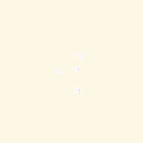 C[C@@H](CO)n1cnc2c(-c3ccc(=O)[nH]c3)nc(Cl)cc2c1=O